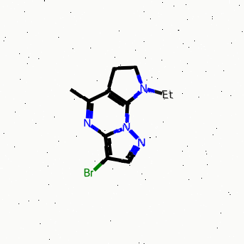 CCN1CCc2c(C)nc3c(Br)cnn3c21